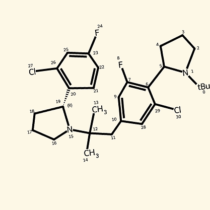 CC(C)(C)N1CCCC1c1c(F)cc(CC(C)(C)N2CCC[C@@H]2c2ccc(F)cc2Cl)cc1Cl